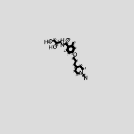 Cc1cc(OCCCC2CCN(C#N)CC2)ccc1C(=O)NCC(O)CO